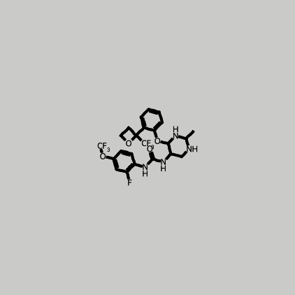 CC1NCC(NC(=O)Nc2ccc(OC(F)(F)F)cc2F)C(Oc2ccccc2C2(C(F)(F)F)CCO2)N1